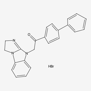 Br.O=C(CN1C2=NCCN2c2ccccc21)c1ccc(-c2ccccc2)cc1